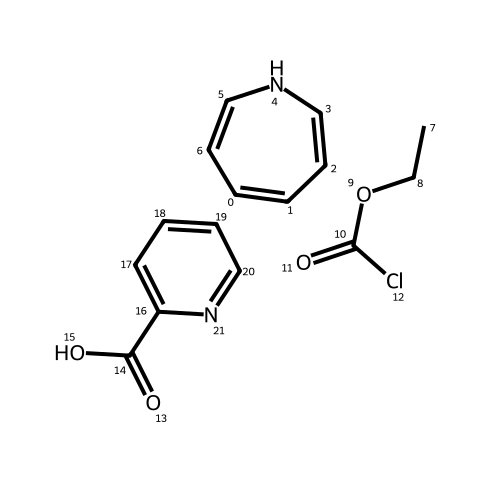 C1=CC=CNC=C1.CCOC(=O)Cl.O=C(O)c1ccccn1